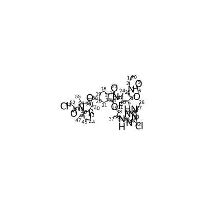 C#CCN1C(=O)COc2cc(F)c(N3C(=O)C4=C(CCCC4)C3=O)cc21.CCNc1nc(Cl)nc(NC(C)C)n1.CCc1cccc(C)c1N(C(=O)CCl)C(C)COC